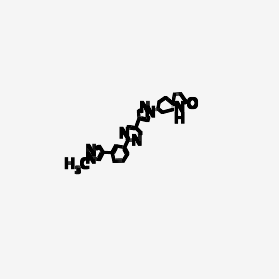 Cn1cc(-c2cccc(-c3ncc(-c4cnn([C@H]5CC[C@@]6(CCC(=O)N6)CC5)c4)cn3)c2)cn1